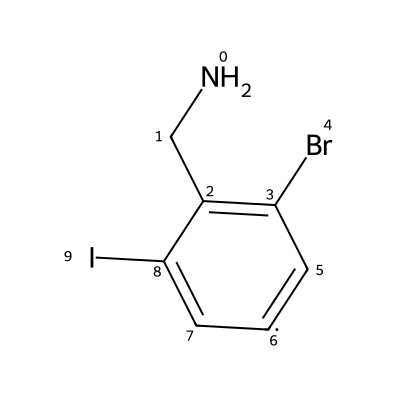 NCc1c(Br)c[c]cc1I